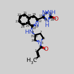 CC=CC(=O)N1CC[C@H](Nc2nc(-c3n[nH]c(=O)[nH]3)cc3ccccc23)C1